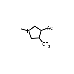 CC(=O)C1CN(C)CC1C(F)(F)F